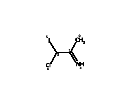 CC(=N)C(Cl)I